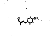 C/C(C=O)=C\CC1CCC(N)CC1